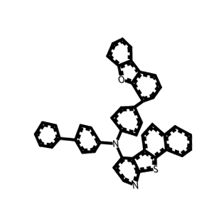 c1ccc(-c2ccc(N(c3ccc(-c4cccc5c4oc4ccccc45)cc3)c3ccnc4sc5c6ccccc6ccc5c34)cc2)cc1